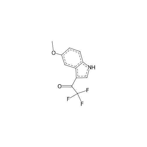 COc1ccc2[nH]cc(C(=O)C(F)(F)F)c2c1